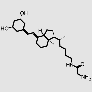 C[C@H](CCCCNC(=O)CN)[C@H]1CC[C@H]2/C(=C/C=C3C[C@@H](O)C[C@H](O)C3)CCC[C@]12C